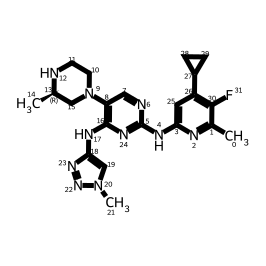 Cc1nc(Nc2ncc(N3CCN[C@H](C)C3)c(Nc3cn(C)nn3)n2)cc(C2CC2)c1F